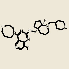 Fc1cncc2c(N3CCCOCC3)nc(OC[C@]34CCC[C@H]3N(CC3CCOCC3)CCC4)nc12